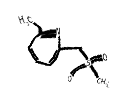 [CH2]S(=O)(=O)Cc1cccc(C)n1